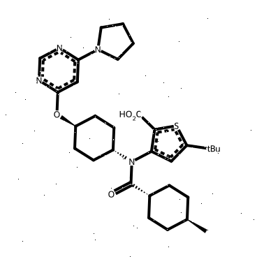 CC(C)(C)c1cc(N(C(=O)[C@H]2CC[C@H](C)CC2)[C@H]2CC[C@H](Oc3cc(N4CCCC4)ncn3)CC2)c(C(=O)O)s1